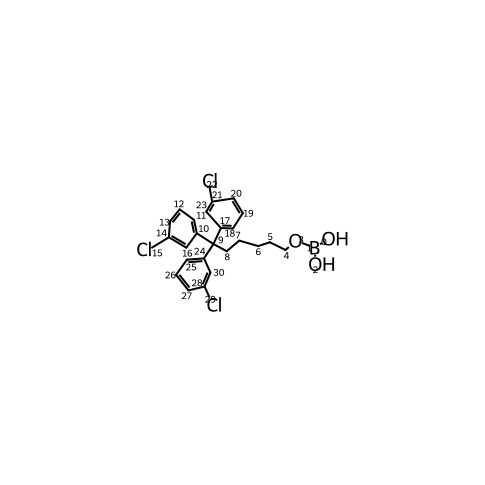 OB(O)OCCCCCC(c1cccc(Cl)c1)(c1cccc(Cl)c1)c1cccc(Cl)c1